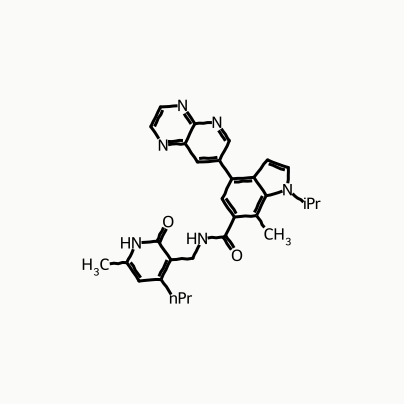 CCCc1cc(C)[nH]c(=O)c1CNC(=O)c1cc(-c2cnc3nccnc3c2)c2ccn(C(C)C)c2c1C